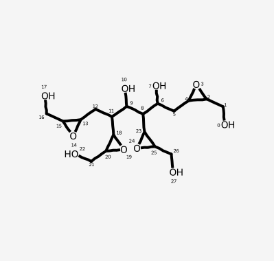 OCC1OC1CC(O)C(C(O)C(CC1OC1CO)C1OC1CO)C1OC1CO